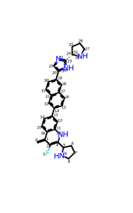 C=C1C(F)=C(C2CCCN2)Nc2cc(-c3ccc4cc(-c5cnc([C@@H]6CCCN6)[nH]5)ccc4c3)ccc21